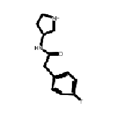 O=C(Cc1ccc(F)cc1)NC1CCNC1